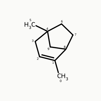 CC1=CCC2(C)CCC1C2